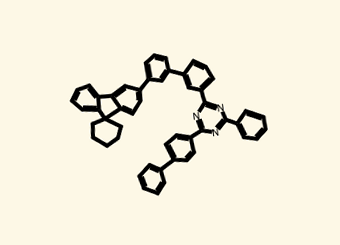 c1ccc(-c2ccc(-c3nc(-c4ccccc4)nc(-c4cccc(-c5cccc(-c6ccc7c(c6)-c6ccccc6C76CCCCC6)c5)c4)n3)cc2)cc1